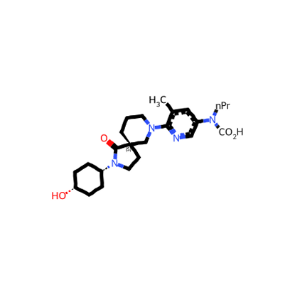 CCCN(C(=O)O)c1cnc(N2CCC[C@]3(CCN([C@H]4CC[C@@H](O)CC4)C3=O)C2)c(C)c1